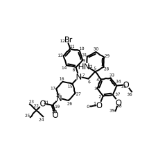 COc1cc(C2(CN(c3ccc(Br)cc3)C3CCN(C(=O)OC(C)(C)C)CC3)C=CC=CN2)cc(OC)c1OC